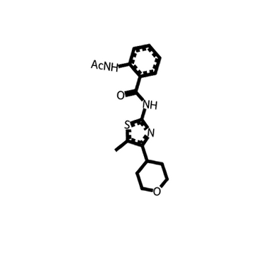 CC(=O)Nc1ccccc1C(=O)Nc1nc(C2CCOCC2)c(C)s1